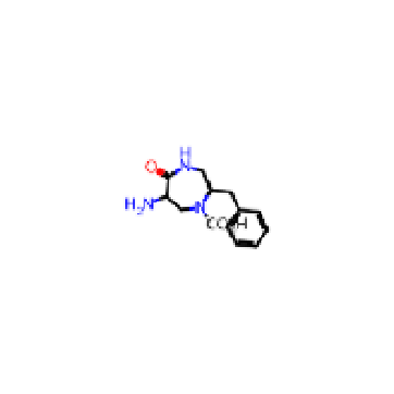 NC1CN(C(=O)O)C(Cc2ccccc2)CNC1=O